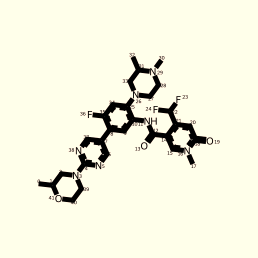 CC1CN(c2ncc(-c3cc(NC(=O)c4cn(C)c(=O)cc4C(F)F)c(N4CCN(C)C(C)C4)cc3F)cn2)CCO1